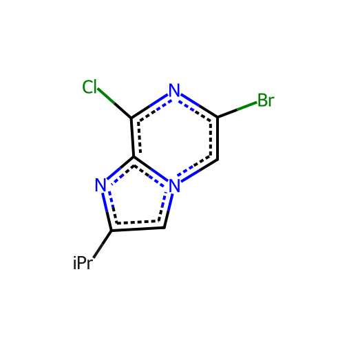 CC(C)c1cn2cc(Br)nc(Cl)c2n1